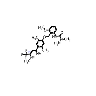 CN/C(=C\C(=N)c1cc(C)c(OCc2c(NC(=O)N(C)N)cccc2OC)cc1C)C(F)(F)F